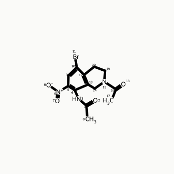 CC(=O)Nc1c([N+](=O)[O-])cc(Br)c2c1CN(C(C)=O)CC2